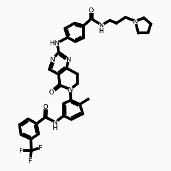 Cc1ccc(NC(=O)c2cccc(C(F)(F)F)c2)cc1N1CCc2nc(Nc3ccc(C(=O)NCCCN4CCCC4)cc3)ncc2C1=O